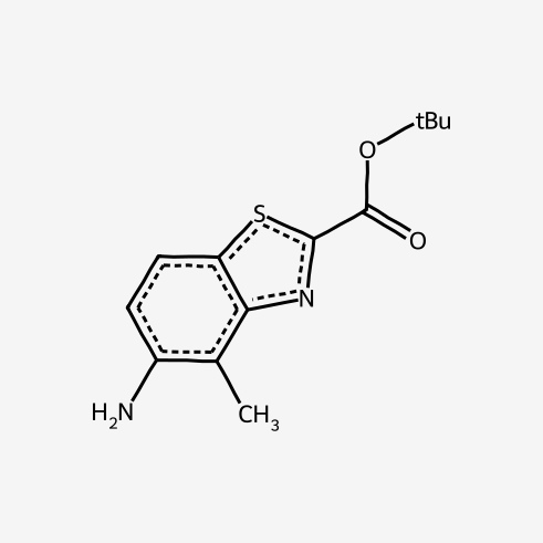 Cc1c(N)ccc2sc(C(=O)OC(C)(C)C)nc12